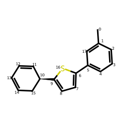 Cc1cccc(-c2ccc([C@@H]3C=CC=CC3)s2)c1